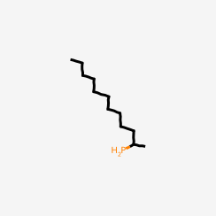 CCCCCCCCCCC(C)P